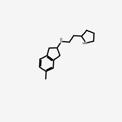 Cc1ccc2c(c1)CC(NCCC1CCCN1)C2